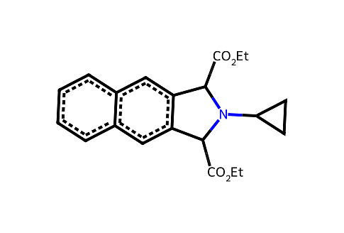 CCOC(=O)C1c2cc3ccccc3cc2C(C(=O)OCC)N1C1CC1